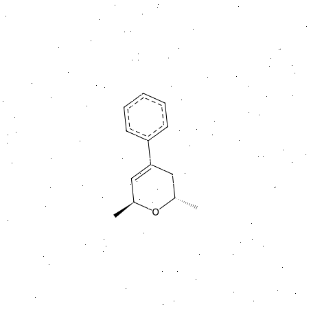 C[C@H]1C=C(c2ccccc2)C[C@H](C)O1